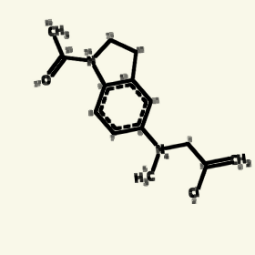 C=C(Cl)CN(C)c1ccc2c(c1)CCN2C(C)=O